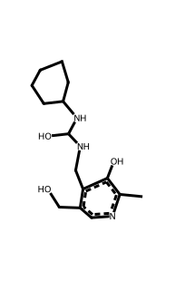 Cc1ncc(CO)c(CNC(O)NC2CCCCC2)c1O